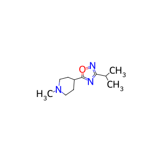 CC(C)c1noc(C2CCN(C)CC2)n1